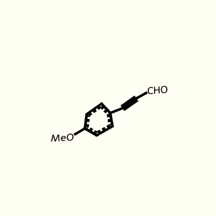 COc1ccc(C#CC=O)cc1